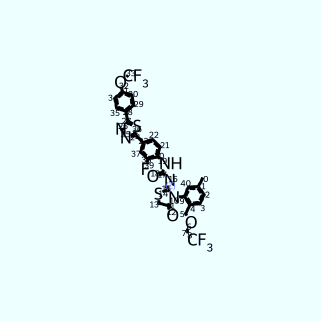 Cc1ccc(COCC(F)(F)F)c(N2C(=O)CS/C2=N\C(=O)Nc2ccc(-c3nnc(-c4ccc(OC(F)(F)F)cc4)s3)cc2F)c1